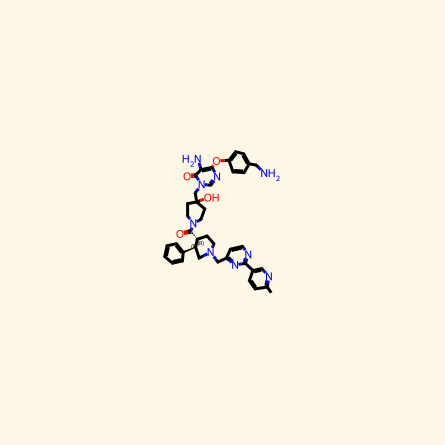 Cc1ccc(-c2nccc(CN3CC[C@@H](C(=O)N4CCC(O)(Cn5cnc(Oc6ccc(CN)cc6)c(N)c5=O)CC4)[C@H](c4ccccc4)C3)n2)cn1